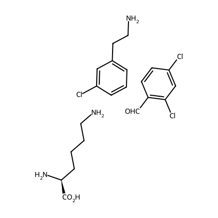 NCCCC[C@H](N)C(=O)O.NCCc1cccc(Cl)c1.O=Cc1ccc(Cl)cc1Cl